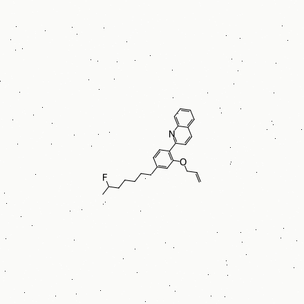 C=CCOc1cc(CCCCCC(C)F)ccc1-c1ccc2ccccc2n1